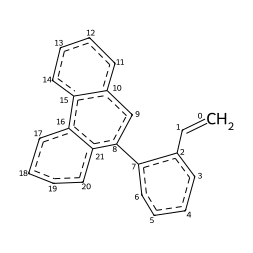 C=Cc1ccccc1-c1cc2ccccc2c2ccccc12